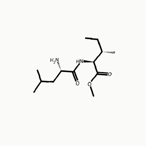 CC[C@H](C)[C@H](NC(=O)[C@@H](N)CC(C)C)C(=O)OC